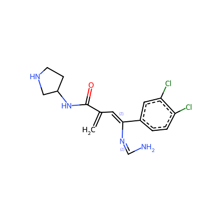 C=C(/C=C(\N=C/N)c1ccc(Cl)c(Cl)c1)C(=O)NC1CCNC1